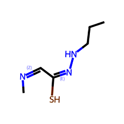 CCCN/N=C(S)\C=N/C